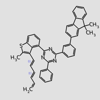 C=C/C=C/C=C/c1c(C)sc2cccc(-c3nc(-c4ccccc4)nc(-c4cccc(-c5ccc6c(c5)C(C)(C)c5ccccc5-6)c4)n3)c12